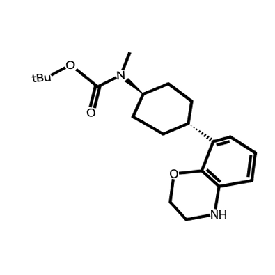 CN(C(=O)OC(C)(C)C)[C@H]1CC[C@H](c2cccc3c2OCCN3)CC1